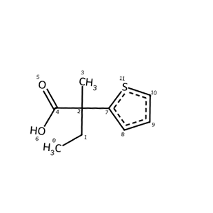 CCC(C)(C(=O)O)c1cccs1